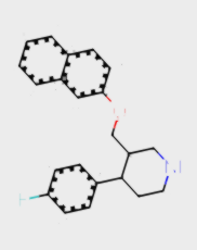 Fc1ccc(C2CCNCC2COc2ccc3ccccc3c2)cc1